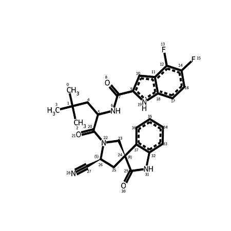 CC(C)(C)CC(NC(=O)c1cc2c(F)c(F)ccc2[nH]1)C(=O)N1C[C@]2(C[C@H]1C#N)C(=O)Nc1ccccc12